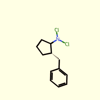 ClN(Cl)C1CCC[C@H]1Cc1ccccc1